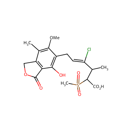 COc1c(C)c2c(c(O)c1CC=C(Cl)C(C)C(C(=O)O)S(C)(=O)=O)C(=O)OC2